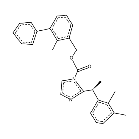 Cc1cccc([C@H](C)c2nccn2C(=O)OCc2cccc(-c3ccccc3)c2C)c1C